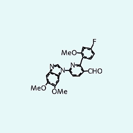 COc1cc2ncn(-c3ccc(C=O)c(-c4ccc(F)cc4OC)n3)c2cc1OC